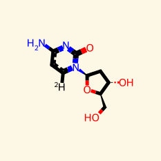 [2H]c1cc(N)nc(=O)n1[C@H]1C[C@H](O)[C@@H](CO)O1